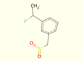 [CH2]C(F)c1cccc(C[SH](=O)=O)c1